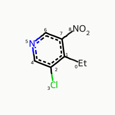 CCc1c(Cl)cncc1[N+](=O)[O-]